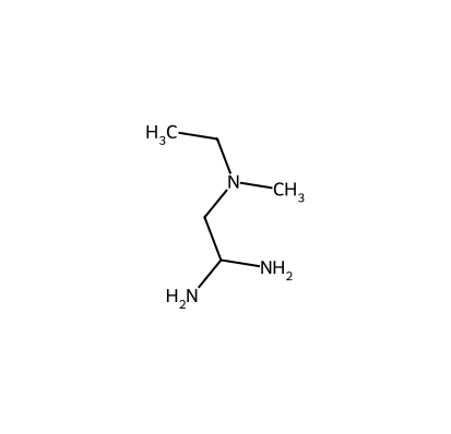 CCN(C)CC(N)N